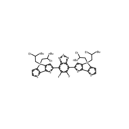 CCCCC(CC)C[Si]1(CC(CC)CCCC)c2ccsc2-c2sc(-c3c(F)c(F)c(-c4cc5c(s4)-c4sccc4[Si]5(CC(CC)CCCC)CC(CC)CCCC)c4nsnc34)cc21